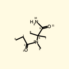 CCC(=O)N(C)C(C)(C)C(N)=O